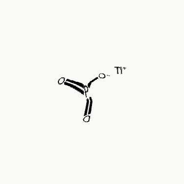 O=P(=O)[O-].[Tl+]